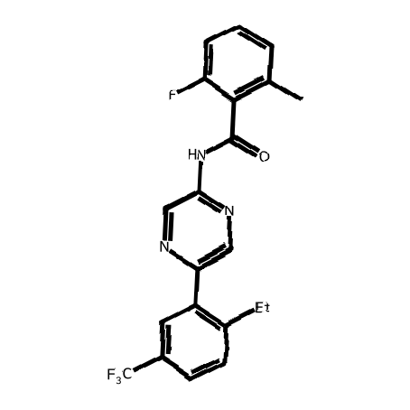 CCc1ccc(C(F)(F)F)cc1-c1cnc(NC(=O)c2c(C)cccc2F)cn1